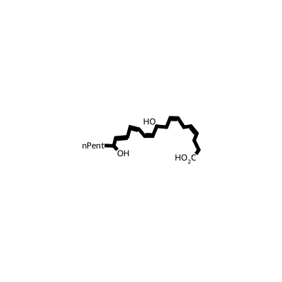 CCCCCC(O)/C=C/C=C\C=C/[C@@H](O)C/C=C\C/C=C\CCC(=O)O